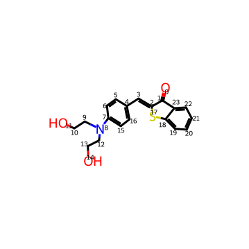 O=C1/C(=C/c2ccc(N(CCO)CCO)cc2)Sc2ccccc21